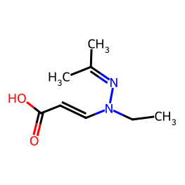 CCN(C=CC(=O)O)N=C(C)C